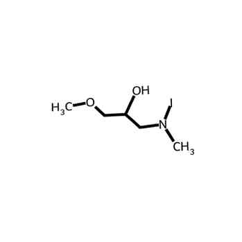 COCC(O)CN(C)I